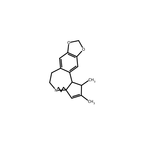 CC1=CC23CCCN2CCc2cc4c(cc2C3C1C)OCO4